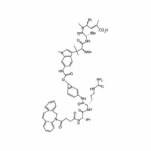 CN[C@H](C(=O)N[C@H](C(=O)N(C)[C@H](/C=C(\C)C(=O)O)C(C)C)C(C)(C)C)C(C)(C)c1cn(C)c2cc(NC(=O)OC3c4ccc(NC(=O)[C@H](CCCNC(N)=O)NC(=O)[C@@H](NC(=O)CCC(=O)N5Cc6ccccc6/C=C\c6ccccc65)C(C)C)cc43)ccc12